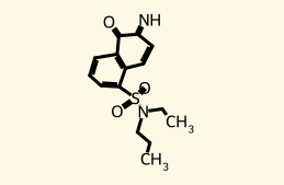 CCCN(CC)S(=O)(=O)c1cccc2c1C=CC(=N)C2=O